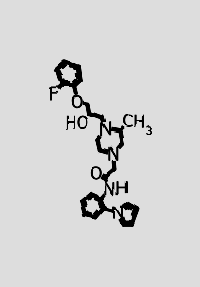 C[C@H]1CN(CC(=O)Nc2ccccc2-n2cccc2)CCN1C[C@H](O)COc1ccccc1F